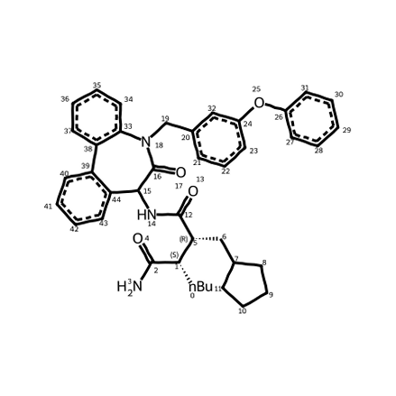 CCCC[C@H](C(N)=O)[C@@H](CC1CCCC1)C(=O)NC1C(=O)N(Cc2cccc(Oc3ccccc3)c2)c2ccccc2-c2ccccc21